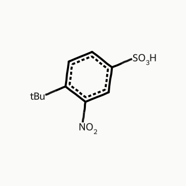 CC(C)(C)c1ccc(S(=O)(=O)O)cc1[N+](=O)[O-]